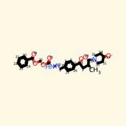 CC(CC(=O)c1ccc(C=NNC(=O)OCOC(=O)c2ccccc2)cc1)C(=O)N1CCC([O])CC1